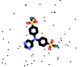 CS(=O)(=O)c1ccc(N(c2ccc(S(C)(=O)=O)cc2)c2cncnc2)cc1